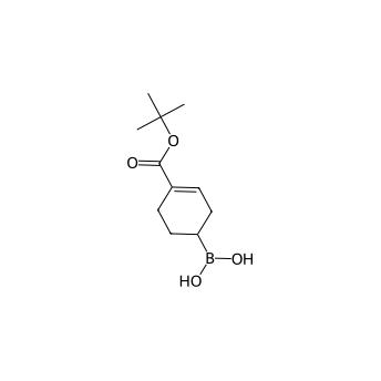 CC(C)(C)OC(=O)C1=CCC(B(O)O)CC1